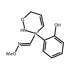 CON=C[N+]1(c2ccccc2O)C=CCON1